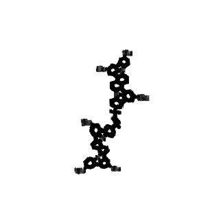 CC(C)(C)c1ccc2c(c1)c1cc(C(C)(C)C)cc3c4c5ccc6c(c5ccc4n2c13)c1cc(C(C)(C)C)cc2c3cc(C(C)(C)C4CC(C)(c5ccc7c(c5)c5cc(C(C)(C)C)cc8c9ccc%10c(ccc%11c%12cc(C(C)(C)C)cc%13c%14cc(C(C)(C)C)ccc%14n(c%13%12)c%11%10)c9n7c58)C4)ccc3n6c21